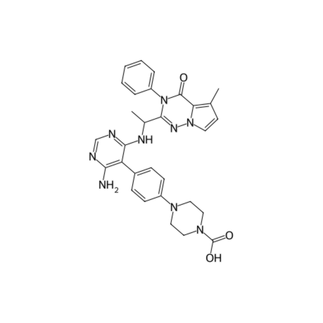 Cc1ccn2nc(C(C)Nc3ncnc(N)c3-c3ccc(N4CCN(C(=O)O)CC4)cc3)n(-c3ccccc3)c(=O)c12